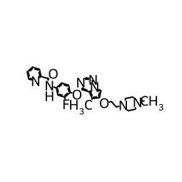 Cc1c(OCCN2CCN(C)CC2)cn2ncnc(Oc3ccc(NC(=O)c4ccccn4)cc3F)c12